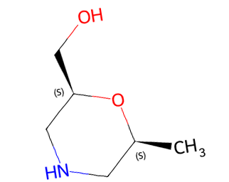 C[C@H]1CNC[C@@H](CO)O1